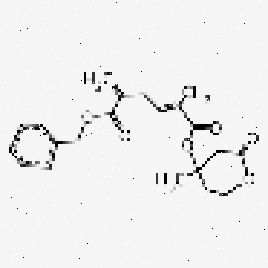 C=C(CC=C(C)C(=O)OC1(C)CCOC(=O)C1)C(=O)OCc1ccccc1